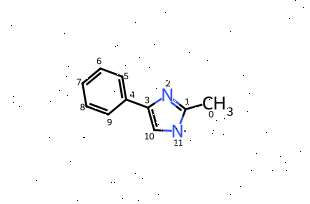 CC1=NC(c2ccccc2)=C[N]1